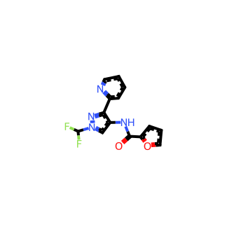 O=C(Nc1cn(C(F)F)nc1-c1ccccn1)c1ccco1